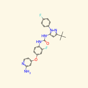 CC(C)(C)c1cc(NC(=O)Nc2ccc(Oc3ccnc(N)c3)cc2F)n(-c2ccc(F)cc2)n1